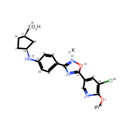 CC(C)Oc1ncc(-c2nc(-c3ccc(N[C@H]4CC[C@@H](C(=O)O)C4)cc3)no2)cc1Cl.[K]